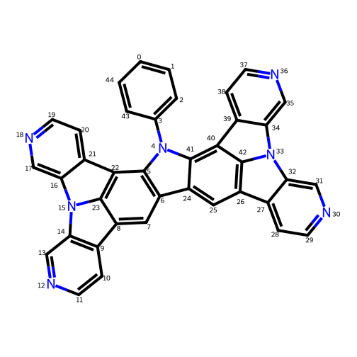 c1ccc(-n2c3c(cc4c5ccncc5n5c6cnccc6c3c45)c3cc4c5ccncc5n5c6cnccc6c(c32)c45)cc1